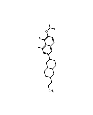 CCCC1CCC2CC(c3cc(F)c4c(F)c(OC(F)F)ccc4c3)CCC2C1